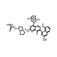 CCc1cccc2cc(O)cc(-c3ncc4c(N5C[C@H]6CC[C@@H](C5)N6)nc(OC[C@]56CCCN5[C@@H](COC(=O)NC)CC6)nc4c3F)c12